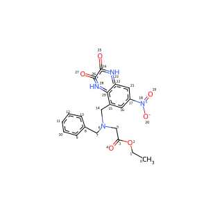 CCOC(=O)CN(Cc1ccccc1)Cc1cc([N+](=O)[O-])cc2[nH]c(=O)c(=O)[nH]c12